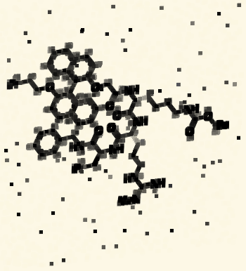 CNC(=N)NCCC[C@@H](NC(=O)[C@@H](CCCCNC(=O)OC(C)(C)C)NC(=O)COc1ccc2ccccc2c1-c1c(OCCC(C)C)ccc2ccccc12)C(=O)N[C@@H](CC(C)C)C(=O)NCc1ccccc1